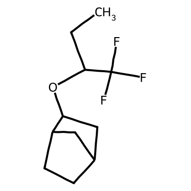 CCC(OC1CC2CCC1C2)C(F)(F)F